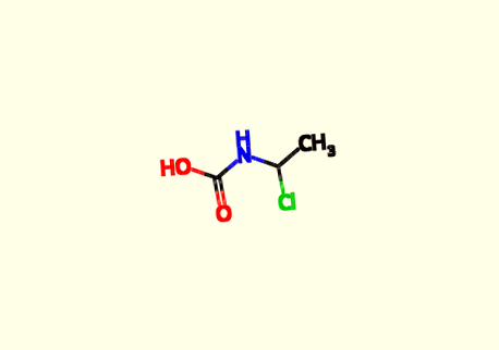 CC(Cl)NC(=O)O